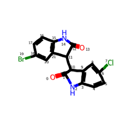 O=C1Nc2ccc(Cl)cc2C1C1C(=O)Nc2ccc(Br)cc21